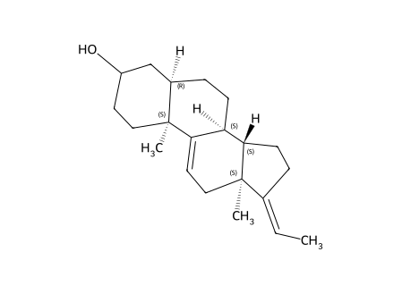 CC=C1CC[C@H]2[C@@H]3CC[C@@H]4CC(O)CC[C@]4(C)C3=CC[C@]12C